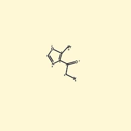 CC(C)c1ocnc1C(=O)CBr